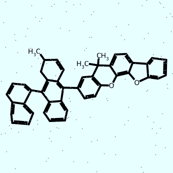 CC1C=Cc2c(c(-c3cccc4ccccc34)c3ccccc3c2-c2ccc3c(c2)C(C)(C)c2ccc4c(oc5ccccc54)c2O3)C1